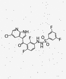 O=C(c1c(F)ccc(NNS(=O)(=O)c2cc(F)cc(F)c2)c1F)c1c[nH]c2ncc(Cl)cc12